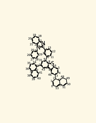 C1=CC(c2ccc3sc4c(-c5cccc(-c6nc7ccccc7n6-c6ccccc6)c5)cc(-c5cccc6ccccc56)cc4c3c2)C2CCC=CC2=C1